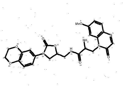 COc1ccc2ncc(=O)n(CC(N)C(=O)NCC3CN(c4ccc5c(c4)OCCO5)C(=O)O3)c2c1